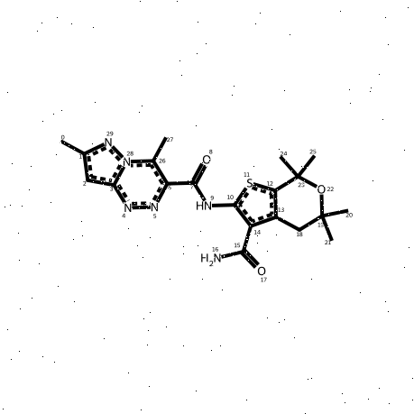 Cc1cc2nnc(C(=O)Nc3sc4c(c3C(N)=O)CC(C)(C)OC4(C)C)c(C)n2n1